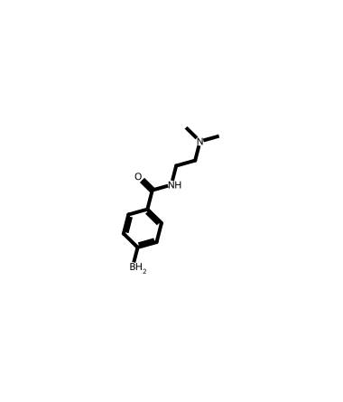 Bc1ccc(C(=O)NCCN(C)C)cc1